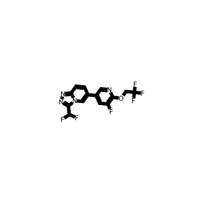 Fc1cc(-c2ccc3nnc(C(F)F)n3c2)cnc1OCC(F)(F)F